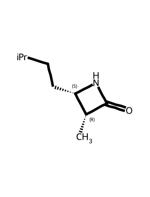 CC(C)CC[C@@H]1NC(=O)[C@@H]1C